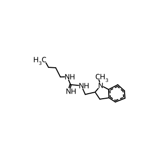 CCCCNC(=N)NCC1Cc2ccccc2N1C